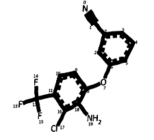 N#Cc1cccc(Oc2ccc(C(F)(F)F)c(Cl)c2N)c1